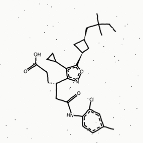 CCC(C)(C)C[C@H]1C[C@@H](c2onc([C@@H](CCC(=O)O)CC(=O)Nc3ccc(C)cc3Cl)c2C2CC2)C1